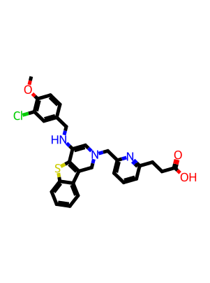 COc1ccc(CNC2=CN(Cc3cccc(CCC(=O)O)n3)Cc3c2sc2ccccc32)cc1Cl